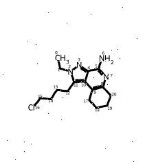 CCn1nc2c(N)nc3c(c2c1CCCCCl)CCCC3